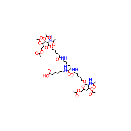 CC(=O)NC1C(OC(C)=O)CC(COC(C)=O)OC1OCCCCC(=O)N[C@@H](CCCCNC(=O)CCCCOC1OC(COC(C)=O)C(OC(C)=O)C(OC(C)=O)C1NC(C)=O)C(=O)NCCCCCC(=O)O